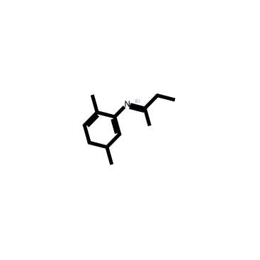 CC/C(C)=N/C1=CC(C)CC=C1C